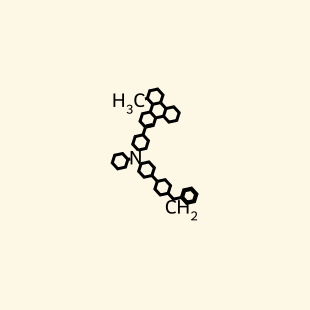 C=C(c1ccccc1)C1CCC(C2CCC(N(C3CCCCC3)C3CCC(C4=CC5C6CCCCC6C6CCCC(C)C6C5CC4)CC3)CC2)CC1